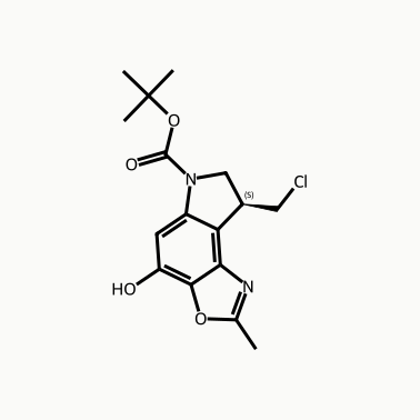 Cc1nc2c3c(cc(O)c2o1)N(C(=O)OC(C)(C)C)C[C@H]3CCl